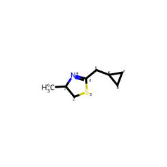 CC1CSC(CC2CC2)=N1